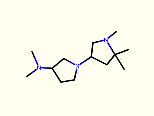 CN(C)C1CCN(C2CN(C)C(C)(C)C2)C1